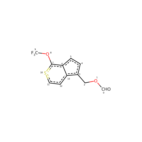 O=COCc1ccc2c(OC(F)(F)F)sccc1-2